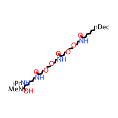 CCCCCCCCCCCCCCCC(=O)NCCOCCOCCC(=O)NCCOCCOCCC(=O)NCCCCC(NC(C)C)C(O)NC